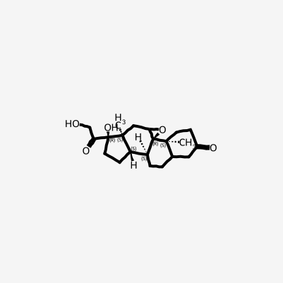 C[C@]12CCC(=O)CC1CC[C@H]1[C@@H]3CC[C@](O)(C(=O)CO)[C@@]3(C)CC3O[C@]312